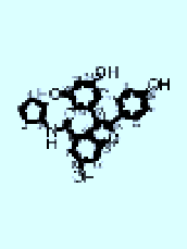 O=C(NC1CCCC1)c1cc(O)cc2oc(-c3ccc(O)cc3)c(-c3cc(O)cc(O)c3)c12